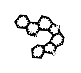 c1ccc2c(c1)oc1ccc3oc4ccc5c6ccccc6c6nccn6c5c4c3c12